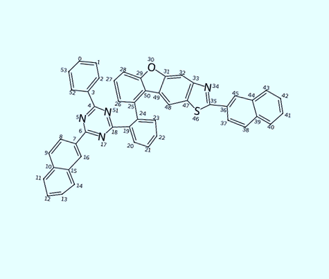 c1ccc(-c2nc(-c3ccc4ccccc4c3)nc(-c3ccccc3-c3cccc4oc5cc6nc(-c7ccc8ccccc8c7)sc6cc5c34)n2)cc1